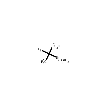 O=C(O)C(F)(Br)C(F)(F)F.[CaH2]